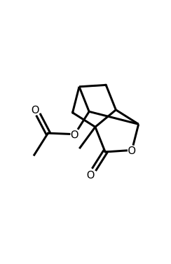 CC(=O)OC1C2CC3C1OC(=O)C3(C)C2